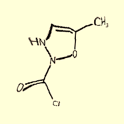 CC1=CNN(C(=O)Cl)O1